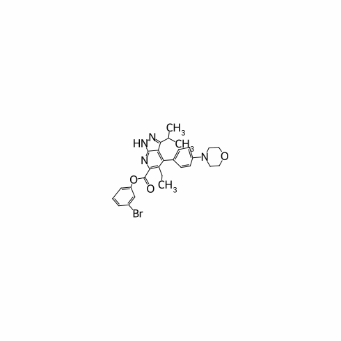 CCc1c(C(=O)Oc2cccc(Br)c2)nc2[nH]nc(C(C)C)c2c1-c1ccc(N2CCOCC2)cc1